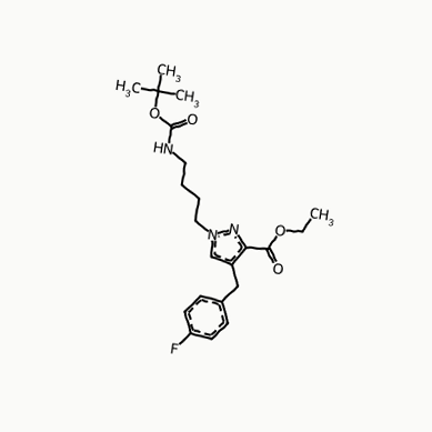 CCOC(=O)c1nn(CCCCNC(=O)OC(C)(C)C)cc1Cc1ccc(F)cc1